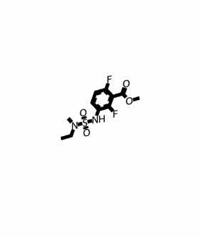 CCN(C)S(=O)(=O)Nc1ccc(F)c(C(=O)OC)c1F